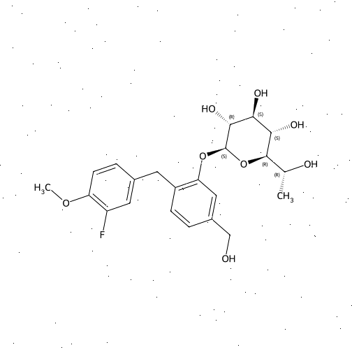 COc1ccc(Cc2ccc(CO)cc2O[C@@H]2O[C@H]([C@@H](C)O)[C@@H](O)[C@H](O)[C@H]2O)cc1F